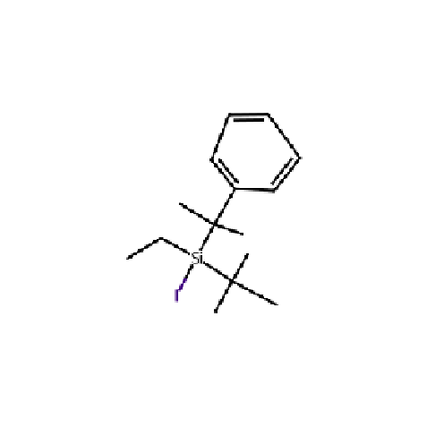 CC[Si](I)(C(C)(C)C)C(C)(C)c1ccccc1